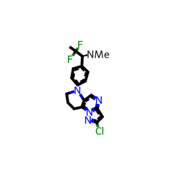 CN[C@@H](c1ccc(N2CCCc3c2cnc2cc(Cl)nn32)cc1)C(C)(F)F